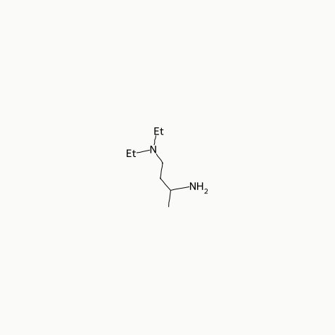 CCN(CC)CCC(C)N